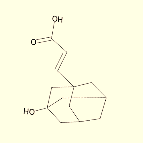 O=C(O)C=CC12CC3CC(CC(O)(C3)C1)C2